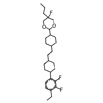 CCCC1(F)COC(C2CCC(CCC3CCC(c4ccc(CC)c(F)c4F)CC3)CC2)OC1